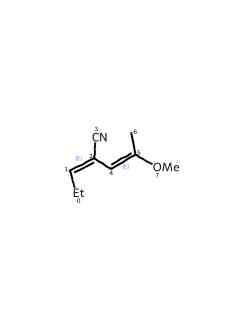 CC/C=C(C#N)\C=C(/C)OC